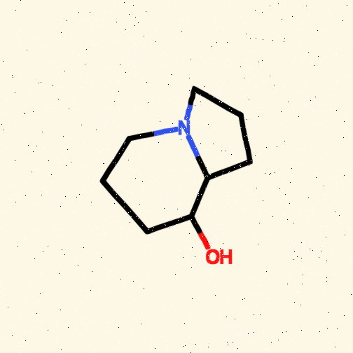 OC1CCCN2CCCC12